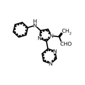 C=C(C=O)n1cc(Nc2ccccc2)nc1-c1ccncn1